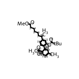 COC(=O)CCCCCC(C)c1cc(OC(=O)C(C)(C)C)c2c(c1)OC(C)(C)[C@@H]1CC=C(C)C[C@@H]21